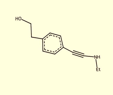 CCNC#Cc1ccc(CCO)cc1